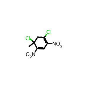 CC1(Cl)CC(Cl)=C([N+](=O)[O-])C=C1[N+](=O)[O-]